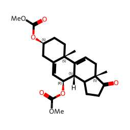 COC(=O)O[C@H]1CC[C@@]2(C)C(=C[C@H](OC(=O)OC)[C@@H]3C2=CC[C@]2(C)C(=O)CCC32)C1